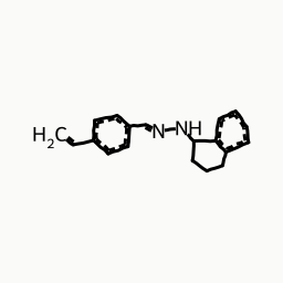 C=Cc1ccc(C=NNC2CCCc3ccccc32)cc1